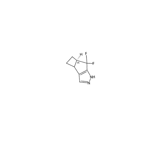 FC1(F)c2[nH]ncc2C2CC[C@H]21